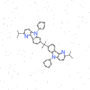 CC(C)c1ccc2c(n1)c1ccc(C(C)(C)c3ccc4c5nc(C(C)C)ccc5n(-c5ccccc5)c4c3)cc1n2-c1ccccc1